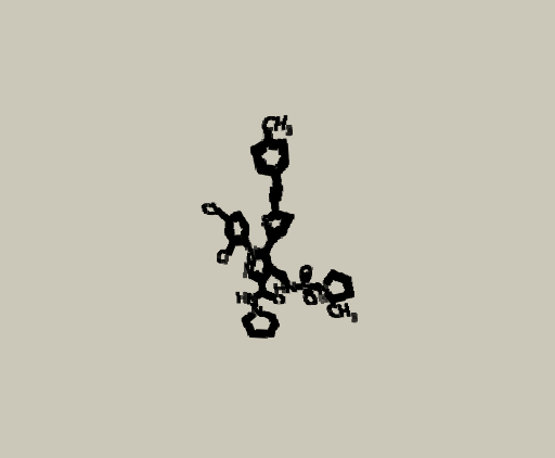 Cc1ccc(C#Cc2ccc(-c3c(CNS(=O)(=O)N4CCC[C@@H]4C)c(C(=O)NN4CCCCC4)nn3-c3ccc(Cl)cc3Cl)s2)cc1